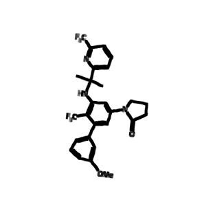 COc1cccc(-c2cc(N3CCCC3=O)cc(NC(C)(C)c3cccc(C(F)(F)F)n3)c2C(F)(F)F)c1